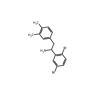 Cc1ccc(CC(N)c2cc(Br)ccc2Br)cc1C